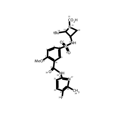 COc1ccc(S(=O)(=O)NC2CN(C(=O)O)C2C(C)(C)C)cc1C(=O)Nc1ccc(F)c(C)n1